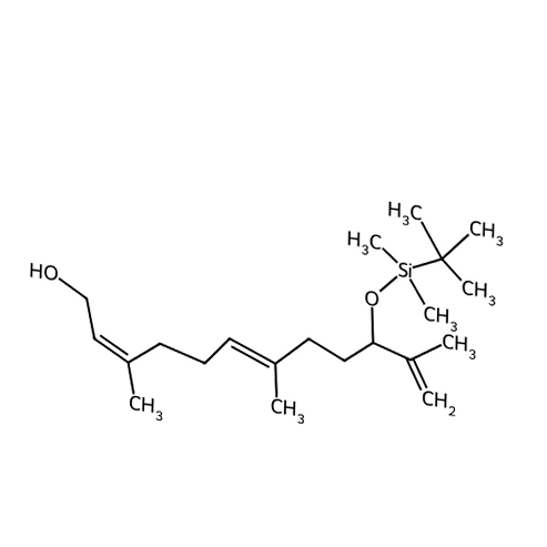 C=C(C)C(CC/C(C)=C/CC/C(C)=C\CO)O[Si](C)(C)C(C)(C)C